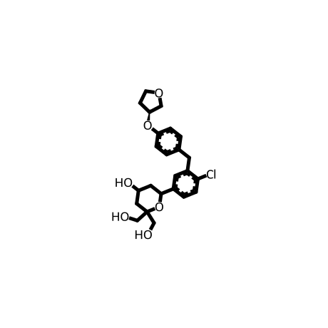 OCC1(CO)CC(O)CC(c2ccc(Cl)c(Cc3ccc(O[C@H]4CCOC4)cc3)c2)O1